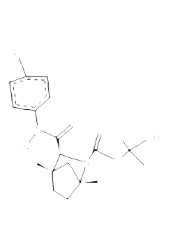 CC(C)(C)OC(=O)N1[C@@H]2CC[C@@H](C2)[C@H]1C(=O)N(N)c1ccc(Br)cc1